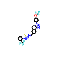 FC(F)(F)Oc1ccc(-n2nnc3c2CCC2=CC(=CN=NC(=S)Nc4ccccc4C(F)(F)F)CC=C23)cc1